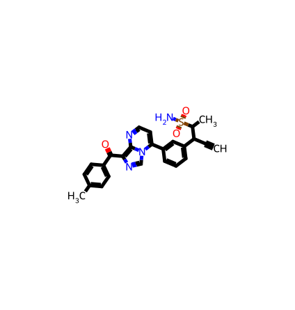 C#CC(c1cccc(-c2ccnc3c(C(=O)c4ccc(C)cc4)ncn23)c1)C(C)S(N)(=O)=O